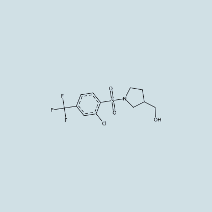 O=S(=O)(c1ccc(C(F)(F)F)cc1Cl)N1CCC(CO)C1